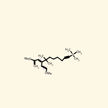 C=C(/C=C(\C=C\OC)C(C)(C)CCCCC#C[Si](C)(C)C)OC